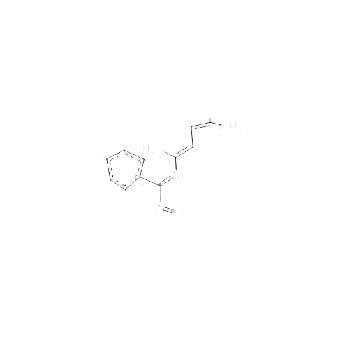 C=N/C(=N/C(C)=C/C=C\C)c1ccccc1